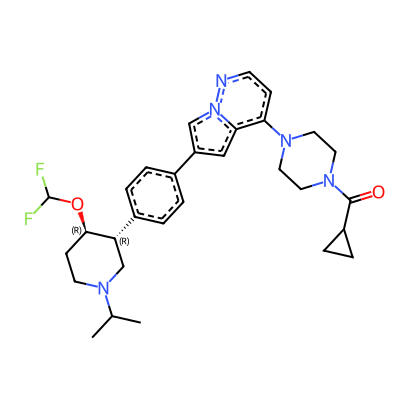 CC(C)N1CC[C@@H](OC(F)F)[C@H](c2ccc(-c3cc4c(N5CCN(C(=O)C6CC6)CC5)ccnn4c3)cc2)C1